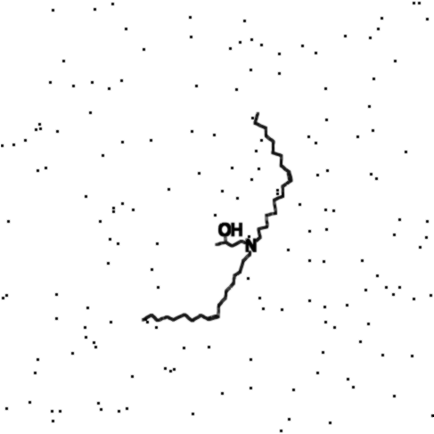 CCCCCCCC/C=C\CCCCCCCCN(CCCCCCCC/C=C\CCCCCCCC)CCC(C)O